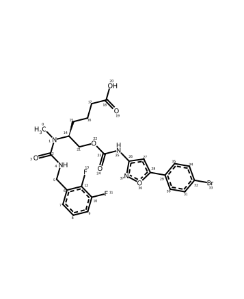 CN(C(=O)NCc1cccc(F)c1F)[C@@H](CCCC(=O)O)COC(=O)Nc1cc(-c2ccc(Br)cc2)on1